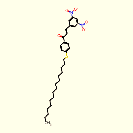 CCCCCCCCCCCCCCCCSc1ccc(C(=O)/C=C/c2cc([N+](=O)[O-])cc([N+](=O)[O-])c2)cc1